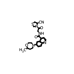 C[C@@H]1CCN(c2ccc3nccc(C(=O)NCC(=O)N4CSC[C@H]4C#N)c3c2)CCO1